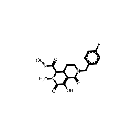 CN1C(=O)C(O)=C2C(=O)N(Cc3ccc(F)cc3)CCC2C1C(=O)NC(C)(C)C